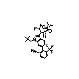 CN(C)S(=O)(=O)N[C@@H](c1cn(CC(C)(C)C)c2cc(-c3c(C#N)cccc3C(F)(F)F)ccc12)C(F)F